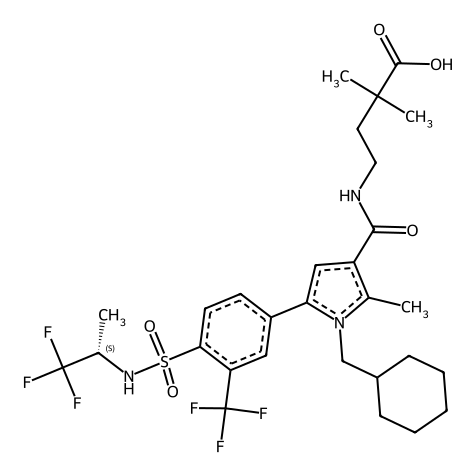 Cc1c(C(=O)NCCC(C)(C)C(=O)O)cc(-c2ccc(S(=O)(=O)N[C@@H](C)C(F)(F)F)c(C(F)(F)F)c2)n1CC1CCCCC1